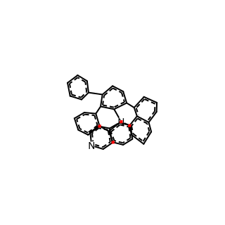 c1ccc(-c2ccccc2-c2c(-c3ccccc3)ccc3c2N(c2ccncc2)c2cccc4cccc-3c24)cc1